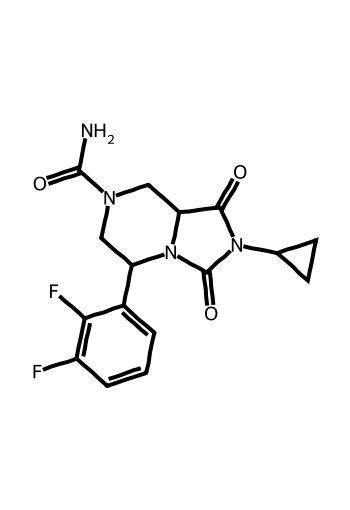 NC(=O)N1CC2C(=O)N(C3CC3)C(=O)N2C(c2cccc(F)c2F)C1